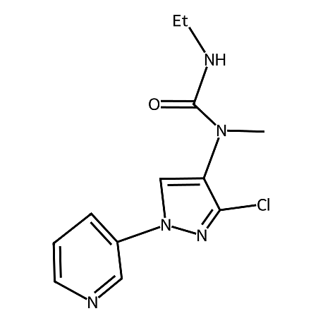 CCNC(=O)N(C)c1cn(-c2cccnc2)nc1Cl